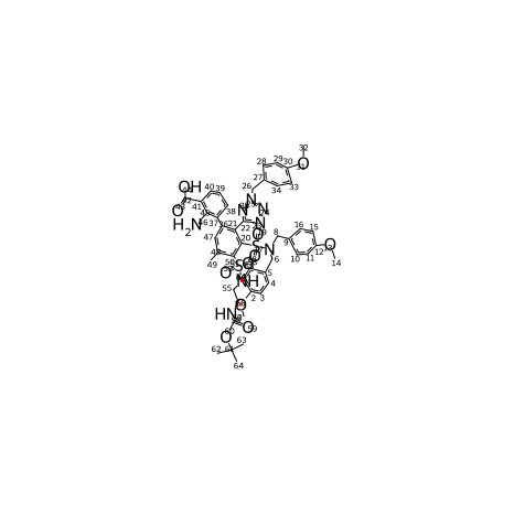 COc1ccc(CN(Cc2ccc(OC)cc2)S(=O)(=O)c2c(-c3nnn(Cc4ccc(OC)cc4)n3)c(-c3cccc(C(=O)O)c3N)cc(C)c2S(=O)(=O)NCCNC(=O)OC(C)(C)C)cc1